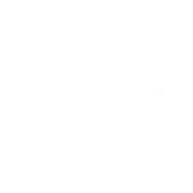 COCCC/C=C/C1=Cc2ccc([C@@H]3CC[C@@](C)(NC(=O)OC)C3)cc2CC1